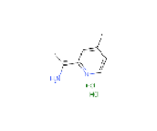 Cc1ccnc([C@@H](C)N)c1.Cl.Cl